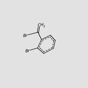 C=C(Br)c1ccccc1Br